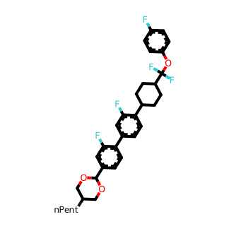 CCCCCC1COC(c2ccc(-c3ccc(C4CCC(C(F)(F)Oc5ccc(F)cc5)CC4)c(F)c3)c(F)c2)OC1